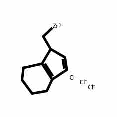 [Cl-].[Cl-].[Cl-].[Zr+3][CH2]C1C=CC2=C1CCCC2